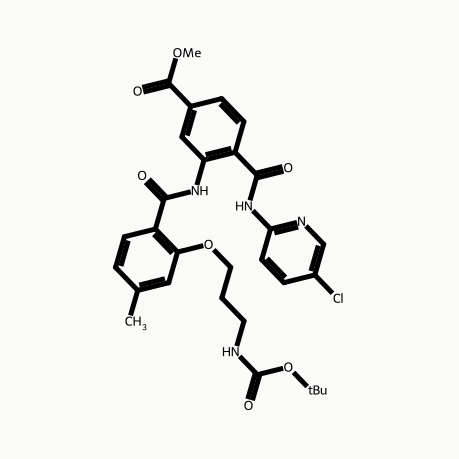 COC(=O)c1ccc(C(=O)Nc2ccc(Cl)cn2)c(NC(=O)c2ccc(C)cc2OCCCNC(=O)OC(C)(C)C)c1